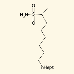 CCCCCCCCCCCCCC(C)S(N)(=O)=O